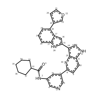 O=C(Nc1cncc(-c2ccc3[nH]nc(-c4cc5c(-c6ccoc6)cccc5[nH]4)c3n2)c1)C1CCCCC1